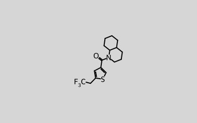 O=C(c1csc(CC(F)(F)F)c1)N1CCCC2CCCCC21